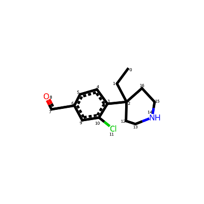 CCC1(c2ccc(C=O)cc2Cl)CCNCC1